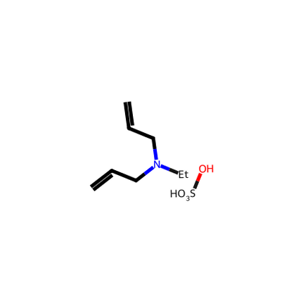 C=CCN(CC)CC=C.O=S(=O)(O)O